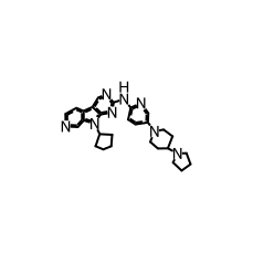 c1cc2c3cnc(Nc4ccc(N5CCC(N6CCCC6)CC5)cn4)nc3n(C3CCCC3)c2cn1